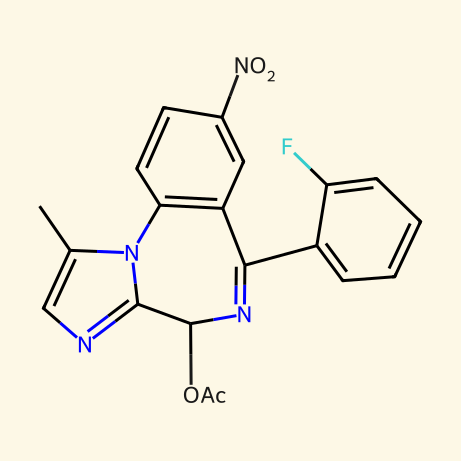 CC(=O)OC1N=C(c2ccccc2F)c2cc([N+](=O)[O-])ccc2-n2c(C)cnc21